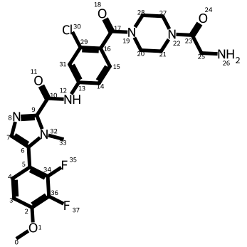 COc1ccc(-c2cnc(C(=O)Nc3ccc(C(=O)N4CCN(C(=O)CN)CC4)c(Cl)c3)n2C)c(F)c1F